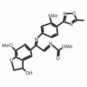 COC(=O)N=CC(=Nc1ccc(-c2noc(C)n2)c(SC)c1)c1cc(OC)c2c(c1)C(O)CO2